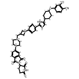 N#Cc1ccc(OC2CCC(c3cnc(-c4ccc(N5CC(CN6CCN(c7ccc8c(c7)C(=O)N(C7CCC(=O)NC7=O)C8=O)CC6)C5)cc4)[nH]3)CC2)cc1Cl